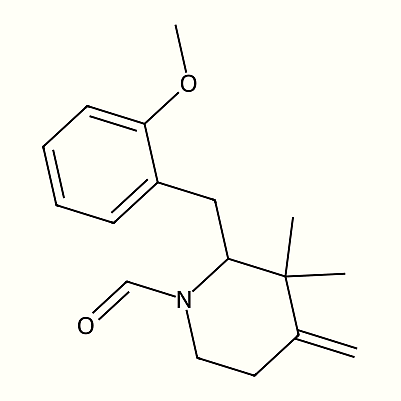 C=C1CCN(C=O)C(Cc2ccccc2OC)C1(C)C